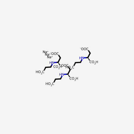 O=C([O-])C[C@H](NCCC(=O)O)C(=O)O.O=C([O-])C[C@H](NCCC(=O)O)C(=O)O.O=C([O-])C[C@H](NCCC(=O)O)C(=O)O.[Na+].[Na+].[Na+]